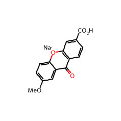 COc1ccc2oc3cc(C(=O)O)ccc3c(=O)c2c1.[Na]